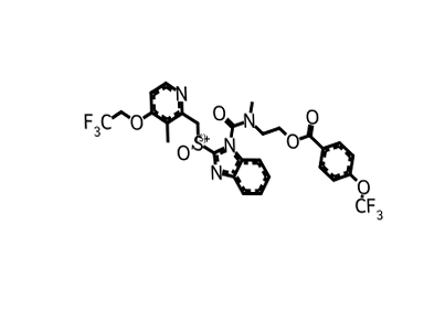 Cc1c(OCC(F)(F)F)ccnc1C[S@@+]([O-])c1nc2ccccc2n1C(=O)N(C)CCOC(=O)c1ccc(OC(F)(F)F)cc1